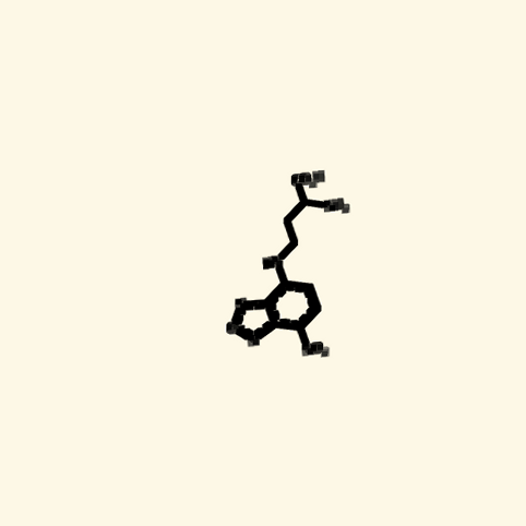 NC(CCNc1ccc([N+](=O)[O-])c2nonc12)C(=O)O